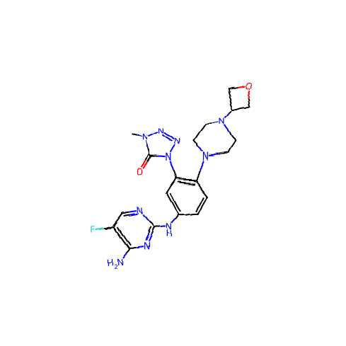 Cn1nnn(-c2cc(Nc3ncc(F)c(N)n3)ccc2N2CCN(C3COC3)CC2)c1=O